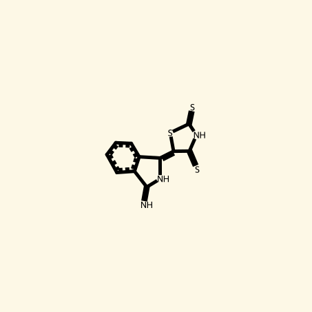 N=C1N/C(=C2/SC(=S)NC2=S)c2ccccc21